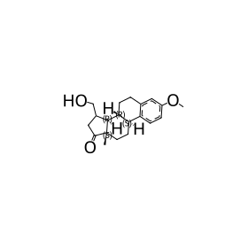 COc1ccc2c(c1)CC[C@@H]1[C@@H]2CC[C@]2(C)C(=O)CC(CO)[C@@H]12